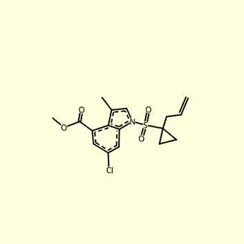 C=CCC1(S(=O)(=O)n2cc(C)c3c(C(=O)OC)cc(Cl)cc32)CC1